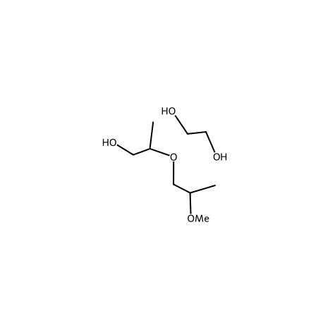 COC(C)COC(C)CO.OCCO